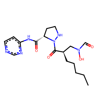 CCCCC[C@H](CN(O)C=O)C(=O)N1NCC[C@H]1C(=O)Nc1ccncn1